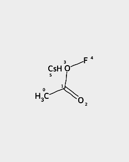 CC(=O)OF.[CsH]